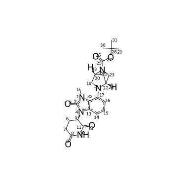 Cn1c(=O)n([C@@H]2CCC(=O)NC2=O)c2cccc(N3C[C@H]4C[C@@H]3CN4C(=O)OC(C)(C)C)c21